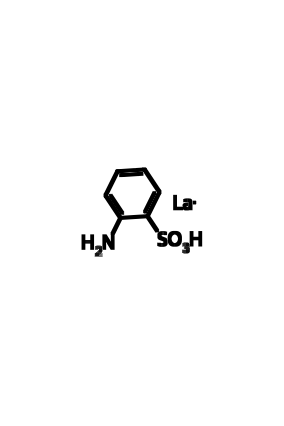 Nc1ccccc1S(=O)(=O)O.[La]